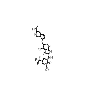 CNc1cn2ncc(Oc3cnc4nc(Nc5cc(C(F)(F)F)cn(C6CC6)c5=O)n(C)c4c3Cl)c2cn1